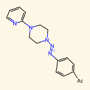 CC(=O)c1ccc(/N=N/N2CCN(c3ccccn3)CC2)cc1